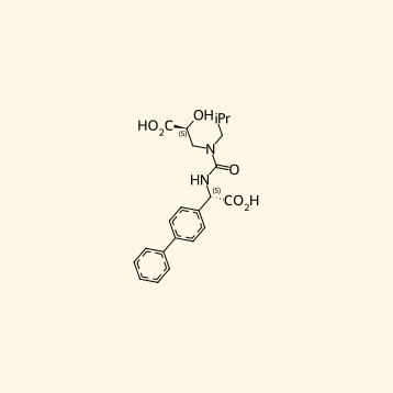 CC(C)CN(C[C@H](O)C(=O)O)C(=O)N[C@H](C(=O)O)c1ccc(-c2ccccc2)cc1